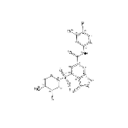 Cn1cnc2cc(C(=O)Nc3ccc(F)c(Cl)c3)cc(S(=O)(=O)N3CCC(O)C(F)C3)c21